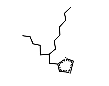 CCCCCCCC(CCCCC)Cc1cscn1